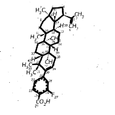 C=C(C)[C@@H]1CC[C@]2(C)CC[C@]3(C)[C@H](CC[C@@H]4[C@@]5(C)CC=C(c6ccc(C(=O)O)c(F)c6)C(C)(C)[C@@H]5CC[C@]43C)[C@@H]12